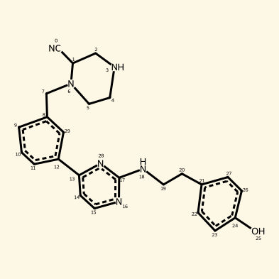 N#CC1CNCCN1Cc1cccc(-c2ccnc(NCCc3ccc(O)cc3)n2)c1